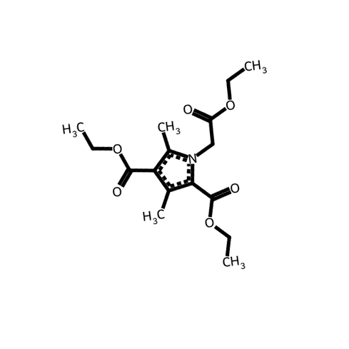 CCOC(=O)Cn1c(C)c(C(=O)OCC)c(C)c1C(=O)OCC